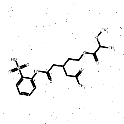 COC(C)C(=O)OCCC(CC(C)=O)CC(=O)Nc1ccccc1S(=O)(=O)O